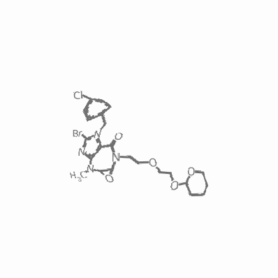 CN1c2nc(Br)n(Cc3ccc(Cl)cc3)c2C(=O)N(CCOCCOC2CCCCO2)C2OC21